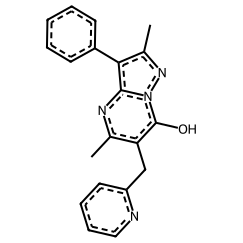 Cc1nc2c(-c3ccccc3)c(C)nn2c(O)c1Cc1ccccn1